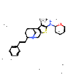 O=C(O)c1c(NC2CCCCO2)sc2c1C1CCC(CCc3ccccc3)N(C2)C1